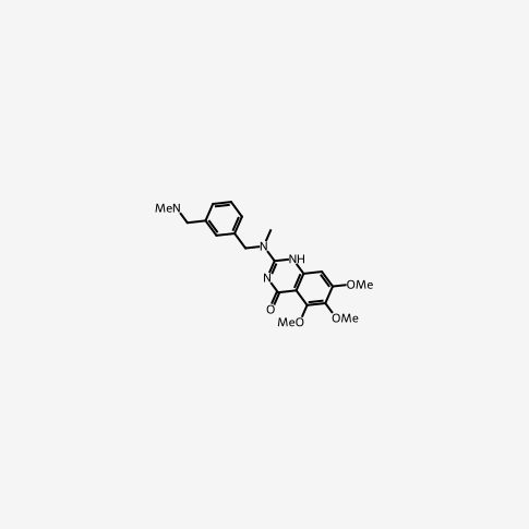 CNCc1cccc(CN(C)c2nc(=O)c3c(OC)c(OC)c(OC)cc3[nH]2)c1